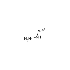 NNC=S